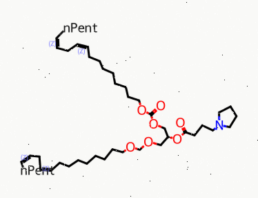 CCCCC/C=C\C/C=C\CCCCCCCCOCOCC(COC(=O)OCCCCCCCC/C=C\C/C=C\CCCCC)OC(=O)CCCN1CCCC1